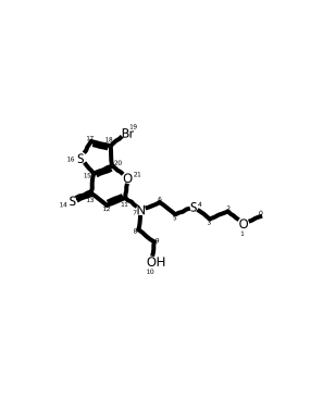 COCCSCCN(CCO)c1cc(=S)c2scc(Br)c2o1